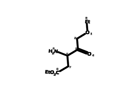 CCOCC(=O)C(N)CC(=O)OCC